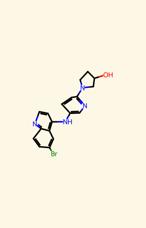 OC1CCN(c2ccc(Nc3ccnc4ccc(Br)cc34)cn2)C1